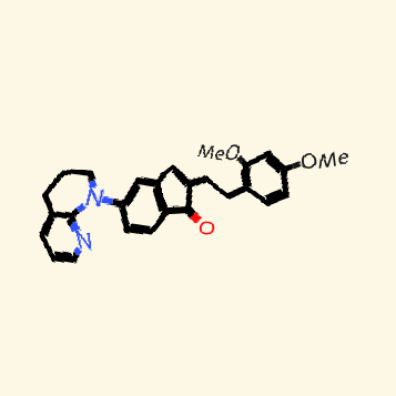 COc1ccc(CCC2=Cc3cc(N4CCCc5cccnc54)ccc3C2=O)c(OC)c1